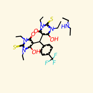 CCNCC.CCn1c(O)c(C(c2ccc(C(F)(F)F)cc2)c2c(O)n(CC)c(=S)n(CC)c2=O)c(=O)n(CC)c1=S